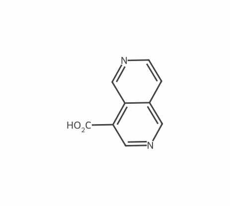 O=C(O)c1cncc2ccncc12